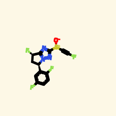 [O-][S@@+](C#CF)c1nc2n(n1)[C@H](c1cc(F)ccc1F)C[C@@H]2F